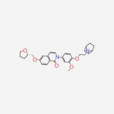 COc1cc(-n2ccc3cc(OC[C@@H]4CCCO4)ccc3c2=O)ccc1OCCN1C2CCC1CC2